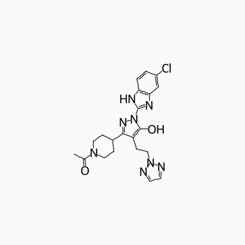 CC(=O)N1CCC(c2nn(-c3nc4cc(Cl)ccc4[nH]3)c(O)c2CCn2nccn2)CC1